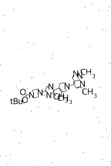 CC1=C(c2ncc(N3CCN(C(=O)OC(C)(C)C)CC3)nc2C)CCN(c2cc(C)nc3c2cnn3C)C1